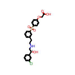 O=C(O)COc1ccc(S(=O)(=O)c2cccc(CCNC[C@@H](O)c3cccc(Cl)c3)c2)cc1